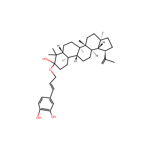 C=C(C)[C@@H]1CC[C@]2(C)CC[C@]3(C)[C@H](CC[C@@H]4[C@@]5(C)CCC(O)(OCC=Cc6ccc(O)c(O)c6)C(C)(C)[C@@H]5CC[C@]43C)[C@@H]12